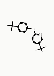 CC(C)(C)c1ccc(Oc2ccc(C(F)(F)F)cn2)cc1